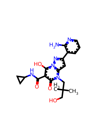 CC(C)(CO)Cn1c(=O)c(C(=O)NC2CC2)c(O)n2nc(-c3cccnc3N)cc12